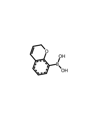 OB(O)c1cccc2c1OCC=C2